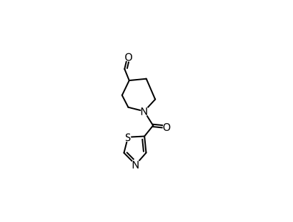 O=CC1CCN(C(=O)c2cncs2)CC1